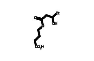 CCC(O)CC(=O)OCCCC(=O)O